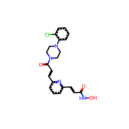 O=C(C=Cc1cccc(C=CC(=O)N2CCN(c3ccccc3Cl)CC2)n1)NO